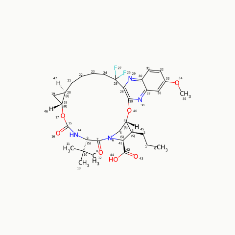 CCC[C@@H]1[C@@H]2CN(C(=O)[C@H](C(C)(C)C)NC(=O)O[C@@H]3C[C@H]3CCCCC(F)(F)c3nc4ccc(OC)cc4nc3O2)[C@@H]1C(=O)O